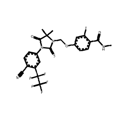 CNC(=O)c1ccc(OCN2C(=S)N(c3ccc(C#N)c(C(F)(F)C(F)(F)F)c3)C(=O)C2(C)C)cc1F